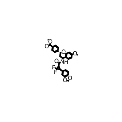 COC(=O)c1ccc([C@H]2C[C@@H](NC(=O)C3C(c4ccc5c(c4)OCO5)C3(F)F)c3ccc(OC)cc3O2)cc1